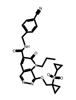 CCCn1c(=O)c(C(=O)NCc2ccc(C#N)cc2)cc2cnnc(OCC3(S(=O)(=O)C4CC4)CC3)c21